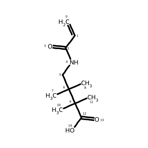 C=CC(=O)NCC(C)(C)C(C)(C)C(=O)O